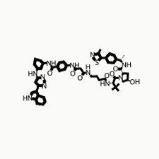 Cc1ncsc1-c1ccc([C@H](C)NC(=O)[C@@H]2C[C@@H](O)CN2C(=O)[C@@H](NC(=O)CCCNC(=O)CC(=O)Nc2ccc(C(=O)Nc3cccc(Nc4cc(-c5c[nH]c6ccccc56)ncn4)c3)cc2)C(C)(C)C)cc1